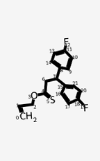 C=CCOC(=S)CC(c1ccc(F)cc1)c1ccc(F)cc1